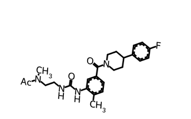 CC(=O)N(C)CCNC(=O)Nc1cc(C(=O)N2CCC(c3ccc(F)cc3)CC2)ccc1C